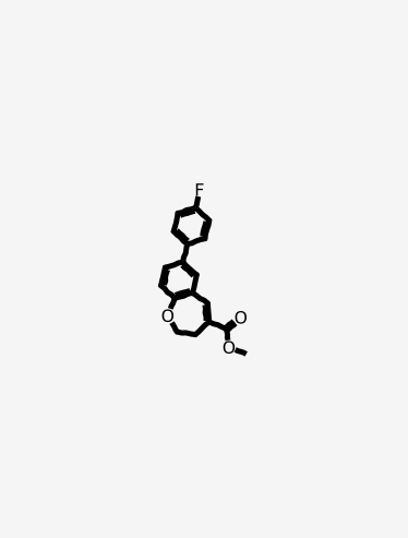 COC(=O)C1=Cc2cc(-c3ccc(F)cc3)ccc2OCC1